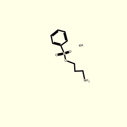 NCCCOS(=O)(=O)c1ccccc1.[KH]